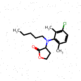 CCCCCN(c1c(C)ccc(Cl)c1C)C1CCOC1=O